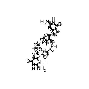 CC1PC[C@@H]2[C@H](F)[C@@H](COP(=O)(S)O[C@@H]([C@@H](O)n3nnc4c(=O)[nH]c(N)nc43)[C@@H]1F)O[C@H]2n1nnc2c(=O)[nH]c(N)nc21